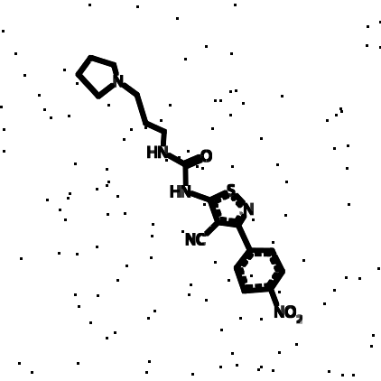 N#Cc1c(-c2ccc([N+](=O)[O-])cc2)nsc1NC(=O)NCCCN1CCCC1